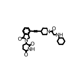 O=C1CCC(N2Cc3c(C#CC4CCN(C(=O)CNC5CCCCC5)CC4)cccc3C2=O)C(=O)N1